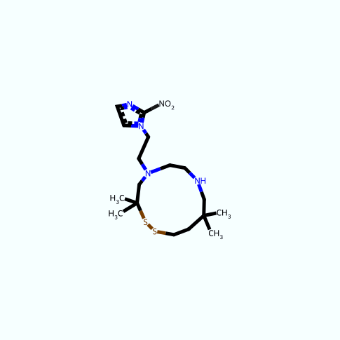 CC1(C)CCSSC(C)(C)CN(CCn2ccnc2[N+](=O)[O-])CCNC1